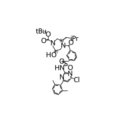 Cc1cccc(C)c1-c1cc(Cl)nc(NS(=O)(=O)c2cccc(C(=O)N3C[C@@H](O)CN(C(=O)OC(C)(C)C)C[C@H]3CC(C)C)c2)n1